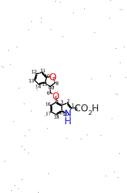 O=C(O)c1cc2c(OC[C@@H]3COc4ccccc43)cccc2[nH]1